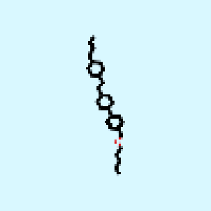 C/C=C/CC1CCC(CCC2CCC(c3ccc(COCCCCC)cc3)CC2)CC1